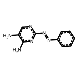 Nc1cnc(N=Nc2ccccc2)nc1N